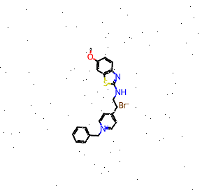 COc1ccc2nc(NCCc3cc[n+](Cc4ccccc4)cc3)sc2c1.[Br-]